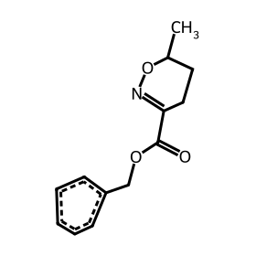 CC1CCC(C(=O)OCc2ccccc2)=NO1